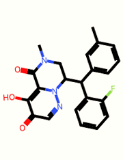 Cc1cccc(C(c2ccccc2F)C2CN(C)C(=O)c3c(O)c(=O)cnn32)c1